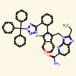 CCc1nc2ccc(C(N)=O)nc2n1Cc1c2ccocc-2c(Br)c1-c1ccccc1-c1nnn(C(c2ccccc2)(c2ccccc2)c2ccccc2)n1